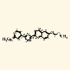 COCOc1ccc2nc(-c3noc(-c4ccnc(OC)c4)n3)ccc2c1